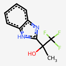 CC(O)(c1nc2ccccc2[nH]1)C(F)(F)F